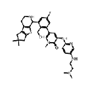 CN(C)CCNc1ccc(Nc2cc(-c3cc(F)cc(C4NCCc5c4sc4c5CC(C)(C)C4)c3CO)cn(C)c2=O)nc1